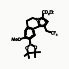 CCOC(=O)c1cc(CC(F)(F)F)c2n1CCc1cc(OC)c(B3OC(C)(C)C(C)(C)O3)cc1-2